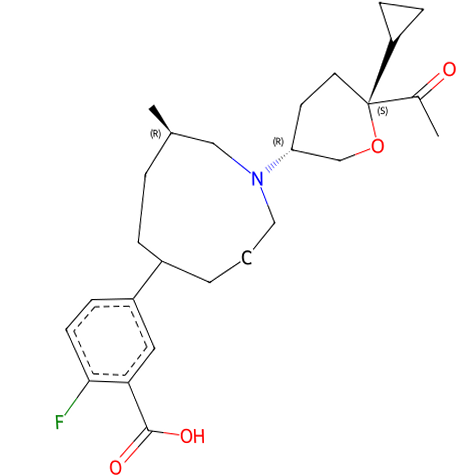 CC(=O)[C@@]1(C2CC2)CC[C@@H](N2CCCC(c3ccc(F)c(C(=O)O)c3)CC[C@@H](C)C2)CO1